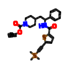 CC(C)(C)OC(=O)N1CCC(CC(NC(=O)c2ccc(C#CS(C)(C)C)s2)c2ccccc2)CC1